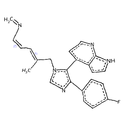 C=N/C=C\C=C(/C)Cn1cnc(-c2ccc(F)cc2)c1-c1ccnc2[nH]ccc12